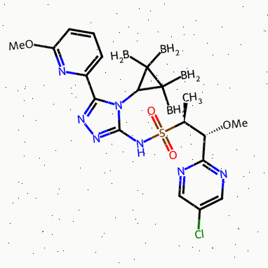 BC1(B)C(n2c(NS(=O)(=O)[C@@H](C)[C@H](OC)c3ncc(Cl)cn3)nnc2-c2cccc(OC)n2)C1(B)B